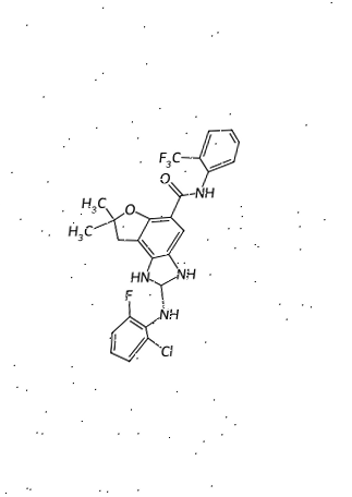 CC1(C)Cc2c3c(cc(C(=O)Nc4ccccc4C(F)(F)F)c2O1)NC(Nc1c(F)cccc1Cl)N3